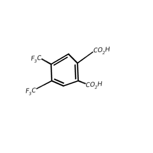 O=C(O)c1cc(C(F)(F)F)c(C(F)(F)F)cc1C(=O)O